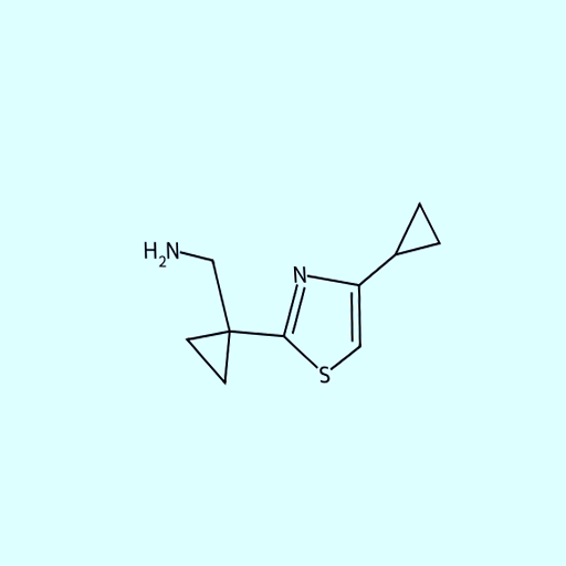 NCC1(c2nc(C3CC3)cs2)CC1